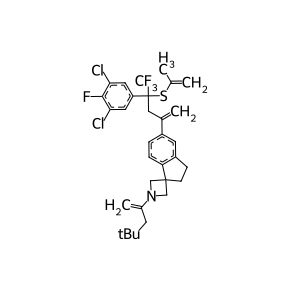 C=C(C)SC(CC(=C)c1ccc2c(c1)CCC21CN(C(=C)CC(C)(C)C)C1)(c1cc(Cl)c(F)c(Cl)c1)C(F)(F)F